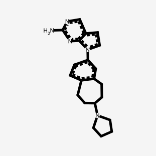 Nc1ncc2ccn(-c3ccc4c(c3)CCC(N3CCCC3)CC4)c2n1